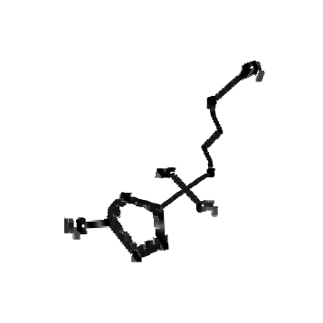 Cc1nnc(C(C)(C#N)SCCSC(F)(F)F)s1